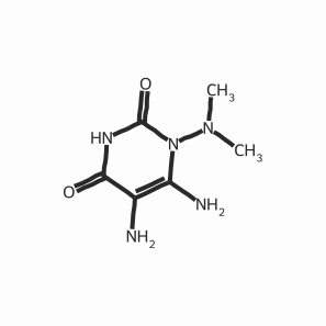 CN(C)n1c(N)c(N)c(=O)[nH]c1=O